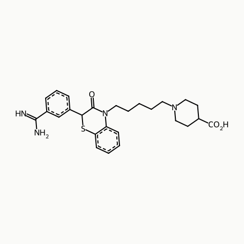 N=C(N)c1cccc(C2Sc3ccccc3N(CCCCCN3CCC(C(=O)O)CC3)C2=O)c1